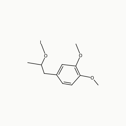 COc1ccc(CC(C)OI)cc1OC